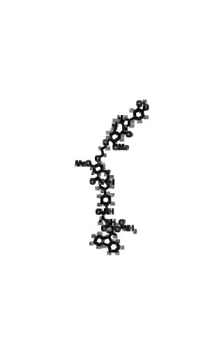 COc1cc2c(cc1OCCCOc1cc3c(cc1OC)C(=O)N1C=C(c4ccc5c(c4)OCO5)C[C@H]1C=N3)N=C[C@@H]1CC(c3ccc(NC(=O)[C@H](C)NC(=O)[C@@](C)(OC(N)=O)C(C)(C)C4c5ccccc5-c5ccccc54)cc3)=CN1C2=O